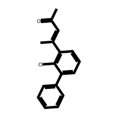 CC(=O)/C=C(\C)c1cccc(-c2ccccc2)c1Cl